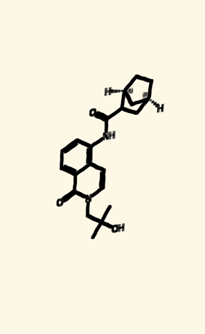 CC(C)(O)Cn1ccc2c(NC(=O)C3C[C@@H]4CC[C@H]3C4)cccc2c1=O